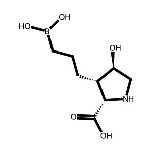 O=C(O)[C@H]1NC[C@H](O)[C@H]1CCCB(O)O